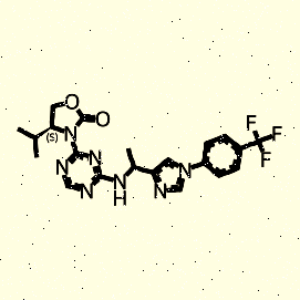 CC(Nc1ncnc(N2C(=O)OC[C@@H]2C(C)C)n1)c1cn(-c2ccc(C(F)(F)F)cc2)cn1